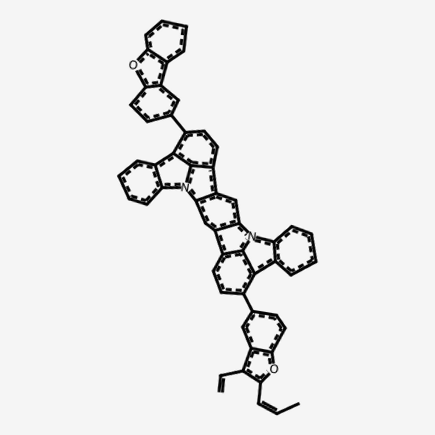 C=Cc1c(/C=C\C)oc2ccc(-c3ccc4c5cc6c(cc5n5c7ccccc7c3c45)c3ccc(-c4ccc5oc7ccccc7c5c4)c4c5ccccc5n6c34)cc12